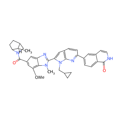 COc1cc(C(=O)N2CC3CCC2[C@@H]3C)cc2nc(-c3cc4ccc(-c5ccc6c(=O)[nH]ccc6c5)nc4n3CC3CC3)n(C)c12